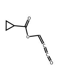 O=C=C=COC(=O)C1CC1